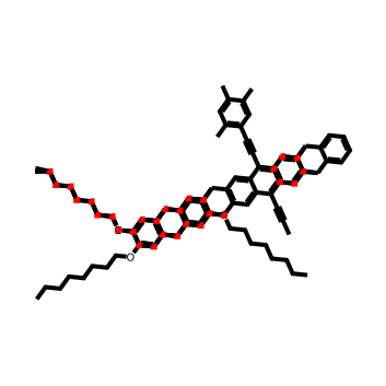 CC#Cc1c2cc3c(cc2c(C#Cc2cc(C)c(C)cc2C)c2cc4c(cc12)C1c2cc5c(cc2C4c2cc4c(cc21)C1c2ccc(OCCCCCCCC)cc2C4c2ccc(OCCCCCCCC)cc21)C1c2ccc(OCCCCCCCC)cc2C5c2ccc(OCCCCCCCC)cc21)C1c2ccccc2C3c2ccccc21